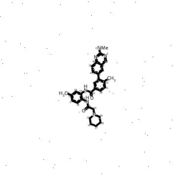 CNc1ncc2cc(-c3cc(C(=O)Nc4cc(C)ccc4NC(=O)CN4CCCCC4)ccc3C)ccc2n1